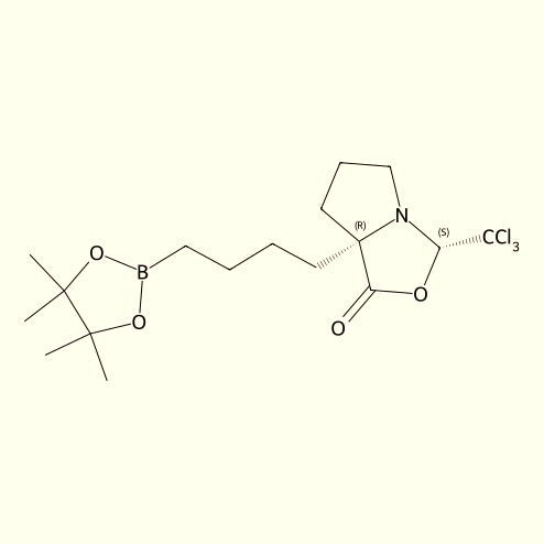 CC1(C)OB(CCCC[C@]23CCCN2[C@H](C(Cl)(Cl)Cl)OC3=O)OC1(C)C